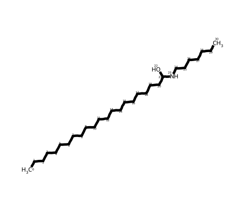 CCCCCCCCCCCCCCCCCCCCCC(O)NCCCCCCC